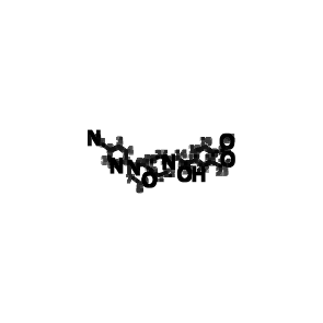 N#Cc1ccc(N2CCOC3(CCN(C[C@H](O)c4ccc5c(c4)COC5=O)CC3)C2)nc1